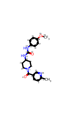 Cc1ccc(C(=O)N2CCC(NC(=O)Nc3ccc(OC(F)(F)F)cc3)CC2)cn1